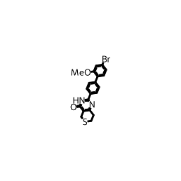 COc1cc(Br)ccc1-c1ccc(-c2nc3c(c(=O)[nH]2)CSCC3)cc1